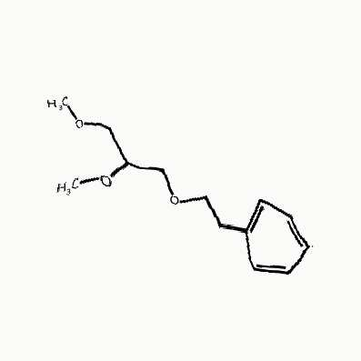 COCC(COCCc1cc[c]cc1)OC